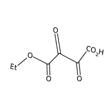 CCOC(=O)C(=O)C(=O)C(=O)O